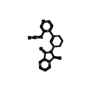 [N-]=[N+]=Nc1cnccc1C1=CC(N2C(=O)c3ccccc3C2=O)CCC1